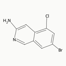 Nc1cc2c(Cl)cc(Br)cc2cn1